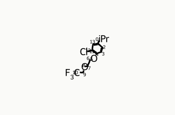 CC(C)c1ccc(OCCOCC(F)(F)F)c(Cl)c1